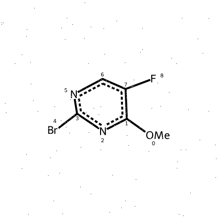 COc1nc(Br)ncc1F